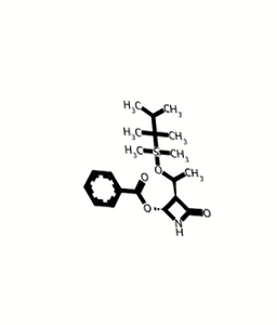 CC(O[Si](C)(C)C(C)(C)C(C)C)[C@H]1C(=O)N[C@@H]1OC(=O)c1ccccc1